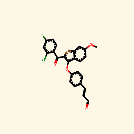 COc1ccc2c(Oc3ccc(/C=C/C=O)cc3)c(C(=O)c3ccc(F)cc3Cl)sc2c1